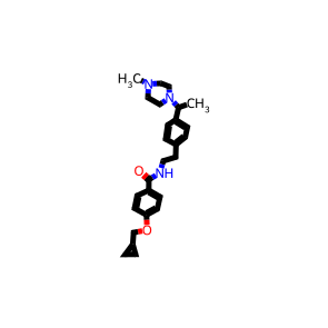 CC(c1ccc(CCNC(=O)c2ccc(OCC3CC3)cc2)cc1)N1CCN(C)CC1